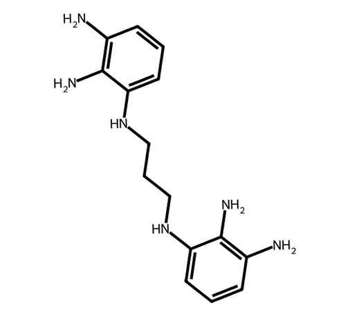 Nc1cccc(NCCCNc2cccc(N)c2N)c1N